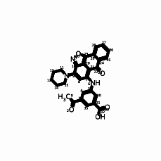 CC(=O)c1cc(Nc2cc(N3CCCCC3)c3noc4c3c2C(=O)c2ccccc2-4)cc(C(=O)O)c1